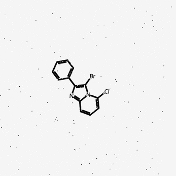 Clc1cccc2nc(-c3ccccc3)c(Br)n12